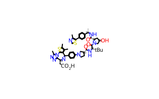 Cc1ncsc1-c1ccc([C@H](C)NC(=O)[C@@H]2C[C@@H](O)CN2C(=O)[C@@H](NC(=O)[C@@H]2CCN(c3ccc(C4=N[C@@H](CC(=O)O)c5nnc(C)n5-c5sc(C)c(C)c54)cc3)C2)C(C)(C)C)cc1